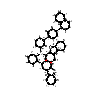 c1cc(-c2ccc(-c3cccc4ccccc34)cc2)cc(N(c2ccccc2-c2ccc3sc4ccccc4c3c2)c2cccc3c2oc2ccccc23)c1